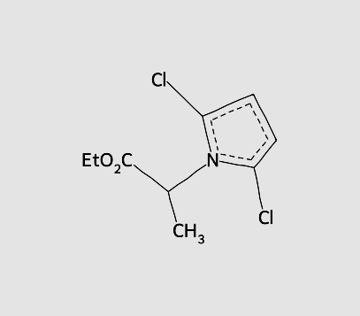 CCOC(=O)C(C)n1c(Cl)ccc1Cl